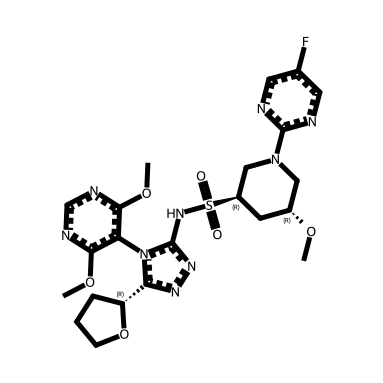 COc1ncnc(OC)c1-n1c(NS(=O)(=O)[C@@H]2C[C@@H](OC)CN(c3ncc(F)cn3)C2)nnc1[C@H]1CCCO1